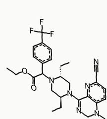 CCOC(=O)C(c1ccc(C(F)(F)F)cc1)N1C[C@H](CC)N(C2=NCN(C)c3ccc(C#N)nc32)C[C@H]1CC